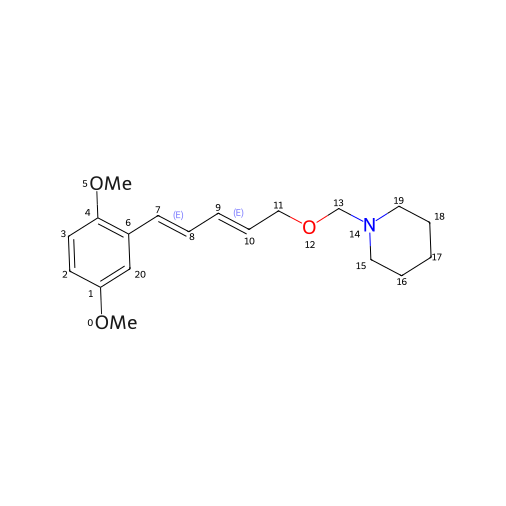 COc1ccc(OC)c(/C=C/C=C/COCN2CCCCC2)c1